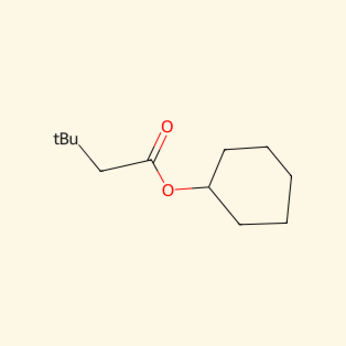 CC(C)(C)CC(=O)OC1CCCCC1